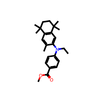 CCN(c1ccc(C(=O)OC)cc1)c1cc2c(cc1C)C(C)(C)CCC2(C)C